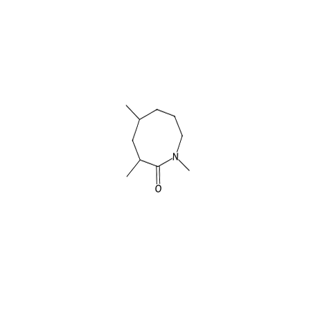 CC1CCCN(C)C(=O)C(C)C1